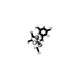 CCO[Si](Cc1cc(C)cc(C)c1)(OCC)OCC